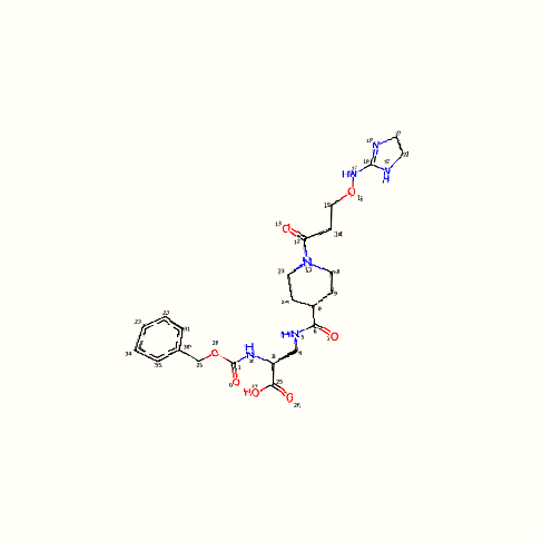 O=C(N[C@@H](CNC(=O)C1CCN(C(=O)CCONC2=NCCN2)CC1)C(=O)O)OCc1ccccc1